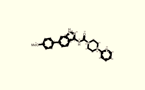 COc1ccc(-c2ccc3c(NC(=O)N4CCN(c5ccccn5)CC4)n[nH]c3c2)cc1